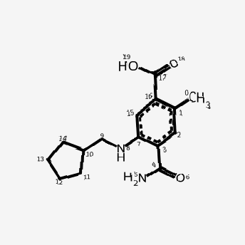 Cc1cc(C(N)=O)c(NCC2CCCC2)cc1C(=O)O